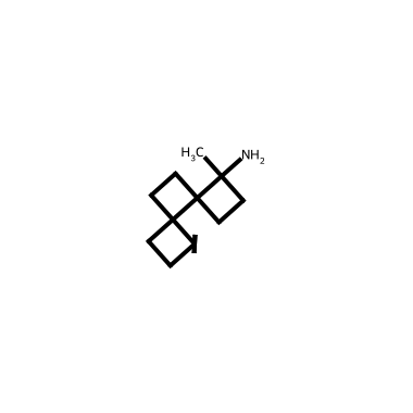 CC1(N)CCC12CCC21CCC12CC2